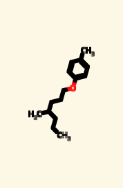 CCCC(C)CCCOc1ccc(C)cc1